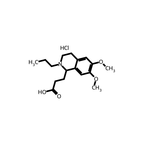 CCCN1CCc2cc(OC)c(OC)cc2C1CCC(=O)O.Cl